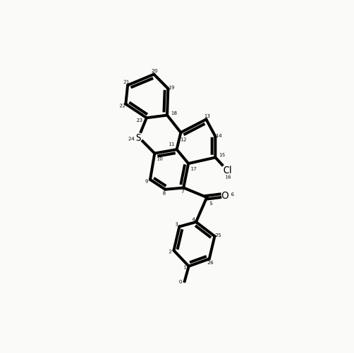 Cc1ccc(C(=O)c2ccc3c4c(ccc(Cl)c24)-c2ccccc2S3)cc1